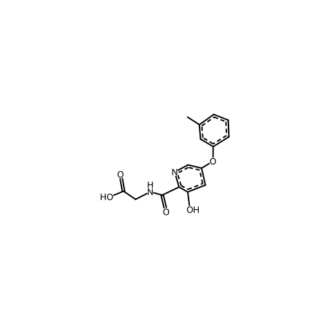 Cc1cccc(Oc2cnc(C(=O)NCC(=O)O)c(O)c2)c1